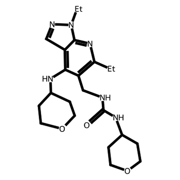 CCc1nc2c(cnn2CC)c(NC2CCOCC2)c1CNC(=O)NC1CCOCC1